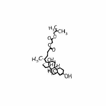 CC(C)COC(=O)COC(=O)CC[C@@H](C)[C@H]1CC[C@H]2[C@@H]3CCC4C[C@H](O)CC[C@]4(C)[C@H]3CC[C@]12C